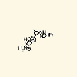 Cc1cc(Nc2nccc(C(C)C)n2)cc(-c2cnc([C@@]3(O)CC[C@H](C(N)=O)C(C)(C)C3)s2)c1